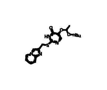 CCCCOC(C)Oc1cnc(SCc2cn3ccccc3n2)[nH]c1=O